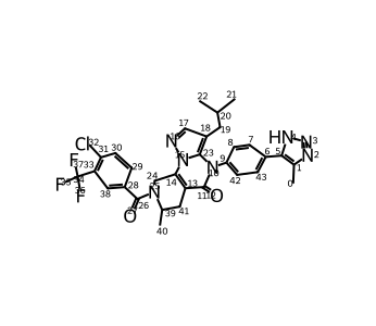 Cc1nn[nH]c1-c1ccc(-n2c(=O)c3c(n4ncc(CC(C)C)c24)CN(C(=O)c2ccc(Cl)c(C(F)(F)F)c2)C(C)C3)cc1